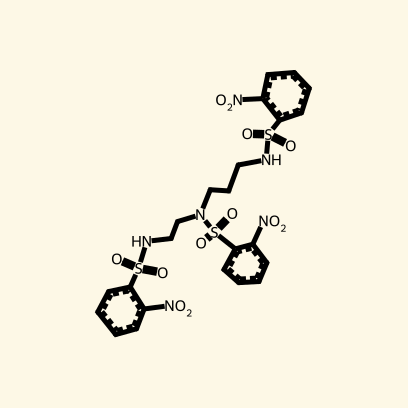 O=[N+]([O-])c1ccccc1S(=O)(=O)NCCCN(CCNS(=O)(=O)c1ccccc1[N+](=O)[O-])S(=O)(=O)c1ccccc1[N+](=O)[O-]